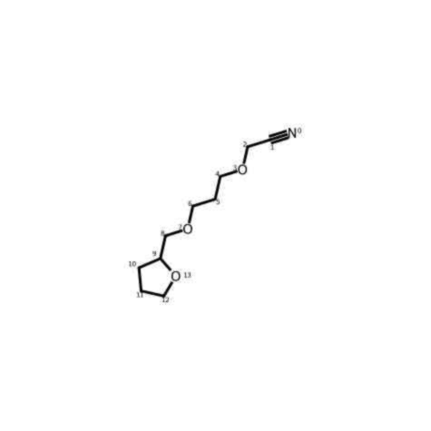 N#CCOCCCOCC1CCCO1